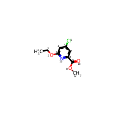 CCOc1cc(Cl)cc(C(=O)OC)n1